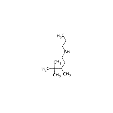 CCCBCCC(C)C(C)(C)C